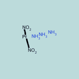 N.N.N.O=[N+]([O-])[Pt][N+](=O)[O-]